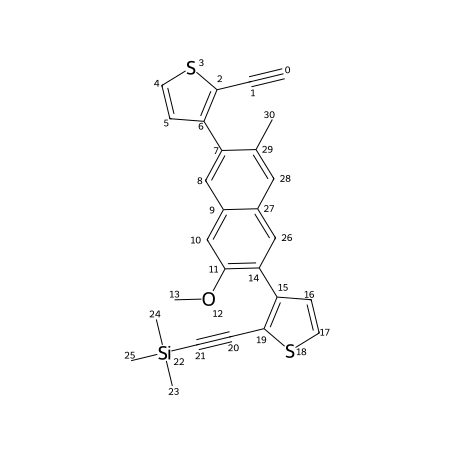 C#Cc1sccc1-c1cc2cc(OC)c(-c3ccsc3C#C[Si](C)(C)C)cc2cc1C